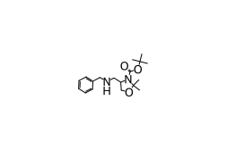 CC(C)(C)OC(=O)N1C(CNCc2ccccc2)COC1(C)C